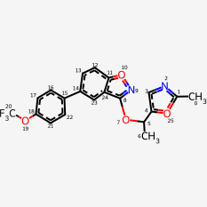 Cc1ncc(C(C)Oc2noc3ccc(-c4ccc(OC(F)(F)F)cc4)cc23)o1